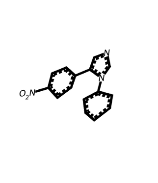 O=[N+]([O-])c1ccc(-c2cncn2-c2ccccc2)cc1